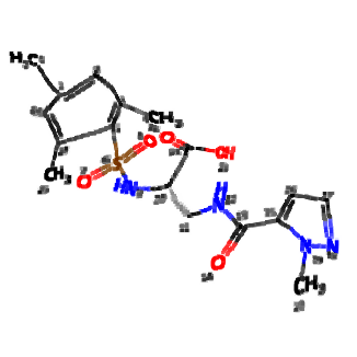 Cc1cc(C)c(S(=O)(=O)N[C@@H](CNC(=O)c2ccnn2C)C(=O)O)c(C)c1